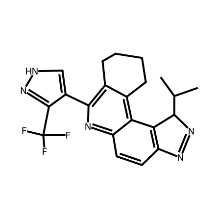 CC(C)C1N=Nc2ccc3nc(-c4c[nH]nc4C(F)(F)F)c4c(c3c21)CCCC4